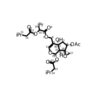 CC(=O)O[C@H]1C[C@]2(O)C(COC(=O)C(OC(=O)CC(C)C)C(C)C)=CO[C@@H](OC(=O)CC(C)C)[C@@H]2[C@@]12CO2